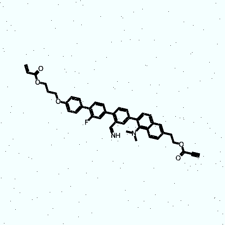 C#CC(=O)OCCc1ccc2c(N(C)C)c(-c3ccc(-c4ccc(-c5ccc(OCCCOC(=O)C=C)cc5)c(F)c4)c(C=N)c3)ccc2c1